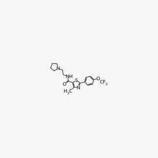 Cc1nc(-c2ccc(OC(F)(F)F)cc2)sc1C(=O)NCCN1CCCC1